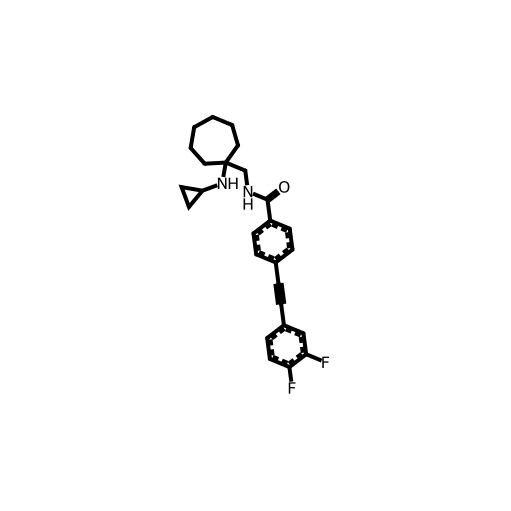 O=C(NCC1(NC2CC2)CCCCCC1)c1ccc(C#Cc2ccc(F)c(F)c2)cc1